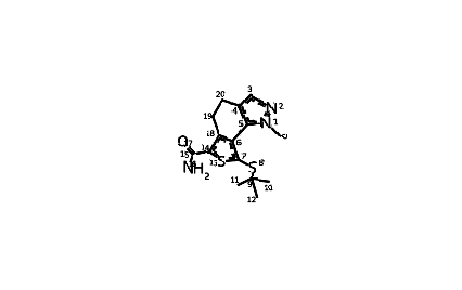 Cn1ncc2c1-c1c(SC(C)(C)C)sc(C(N)=O)c1CC2